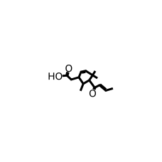 CC=CC(=O)C1C(C)C(CC(=O)O)C=CC1(C)C